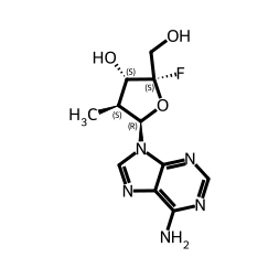 C[C@@H]1[C@H](n2cnc3c(N)ncnc32)O[C@](F)(CO)[C@H]1O